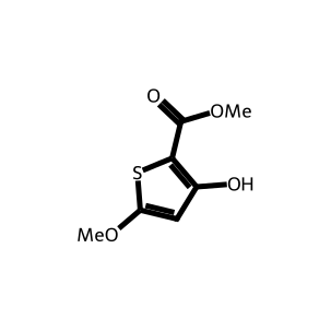 COC(=O)c1sc(OC)cc1O